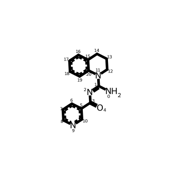 NC(=NC(=O)c1cccnc1)N1CCCc2ccccc21